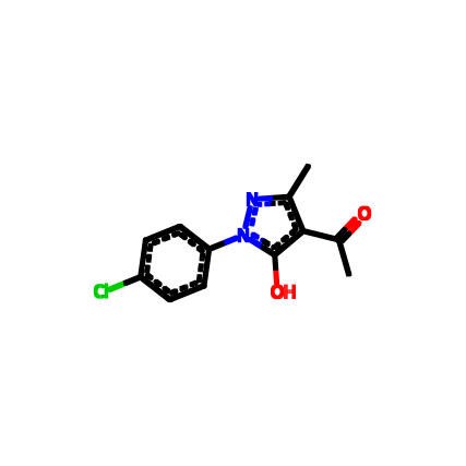 CC(=O)c1c(C)nn(-c2ccc(Cl)cc2)c1O